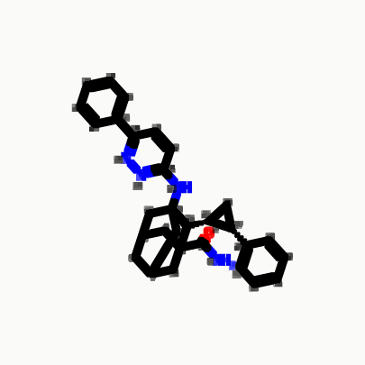 NC(=O)C12CC3CC(CC(Nc4ccc(-c5ccccc5)nn4)(C3)C1[C@@H]1C[C@@H]1c1ccccc1)C2